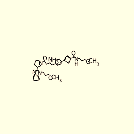 COCCCNC(=O)c1ccc(-c2ccc(CC(N)CC(=O)N3CCCC(c4nc5ccccc5n4CCCOC)C3)cc2)cc1